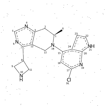 C[C@@H]1Cc2ncnc(C3CNC3)c2CN1c1cc(Cl)nc2[nH]ccc12